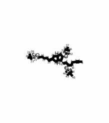 CC#CC[C@H](C)[C@@H](/C=C/[C@H]1[C@H]2C/C(=C/CCCCO[Si](C)(C)C(C)(C)C)C[C@H]2C[C@@H]1O[Si](C)(C)C(C)(C)C)O[Si](C)(C)C(C)(C)C